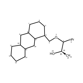 CCCC(OCC1CCCC2CC3CCCCC3CC12)[C@@H](C)O